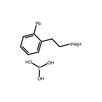 CCCCCCCCCc1cccc[c]1[Pb].OP(O)O